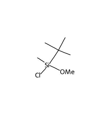 CO[Si](C)(Cl)C(C)(C)C